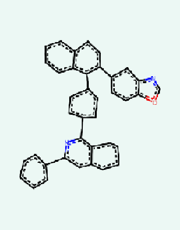 c1ccc(-c2cc3ccccc3c(-c3ccc(-c4c(-c5ccc6ocnc6c5)ccc5ccccc45)cc3)n2)cc1